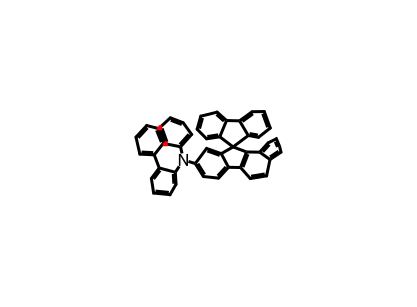 c1ccc(-c2ccccc2N(c2ccccc2)c2ccc3c(c2)C2(c4ccccc4-c4ccccc42)c2c-3ccc3ccccc23)cc1